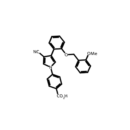 COc1ccccc1COc1ccccc1-c1cn(-c2ccc(C(=O)O)cc2)cc1C#N